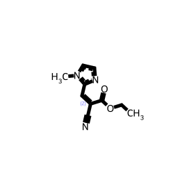 CCOC(=O)/C(C#N)=C\c1nccn1C